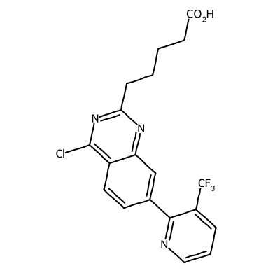 O=C(O)CCCCc1nc(Cl)c2ccc(-c3ncccc3C(F)(F)F)cc2n1